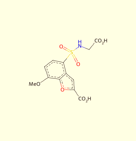 COc1ccc(S(=O)(=O)NCC(=O)O)c2cc(C(=O)O)oc12